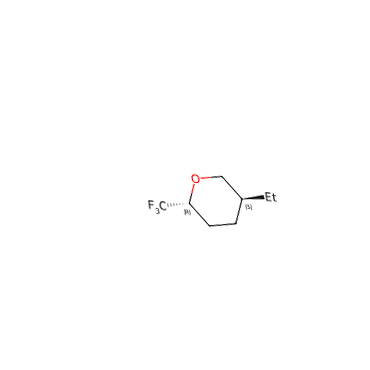 CC[C@H]1CC[C@H](C(F)(F)F)OC1